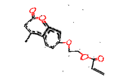 C=CC(=O)OCCOc1ccc2c(C)cc(=O)oc2c1